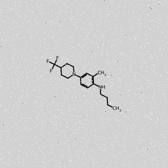 CCCCNc1ccc(N2CCC(C(F)(F)F)CC2)cc1C